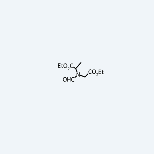 CCOC(=O)CN(C=O)C(C)C(=O)OCC